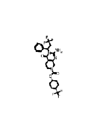 Nc1nc2c(c(=O)n1C(CC(F)(F)F)c1ccccc1)CCN(C(=O)O[C@H]1CC[C@H](C(F)(F)F)CC1)C2